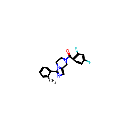 O=C(c1ccc(F)cc1F)N1CCn2c(cnc2-c2ccccc2C(F)(F)F)C1